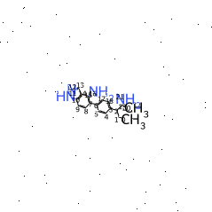 CCC(c1ccc(-c2ccc3[nH]ncc3c2N)cc1)C(C)N